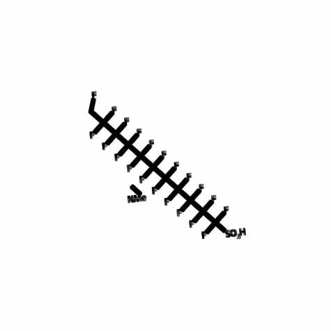 CNC.O=S(=O)(O)C(F)(F)C(F)(F)C(F)(F)C(F)(F)C(F)(F)C(F)(F)C(F)(F)C(F)(F)C(F)(F)C(F)(F)CF